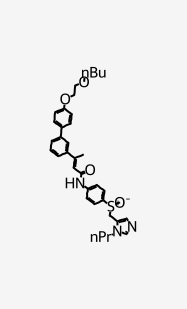 CCCCOCCOc1ccc(-c2cccc(/C(C)=C/C(=O)Nc3ccc([S+]([O-])Cc4cncn4CCC)cc3)c2)cc1